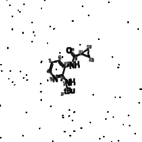 CC(C)(C)Nc1ncccc1NC(=O)C1CC1